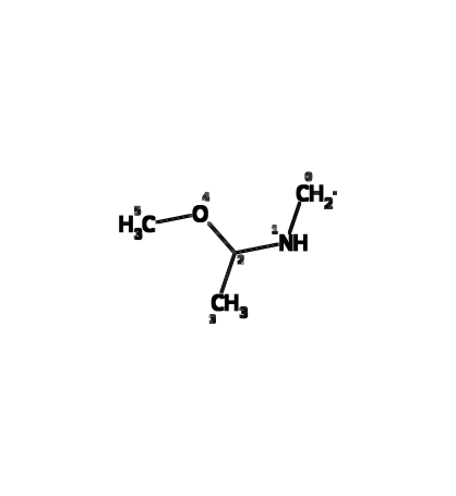 [CH2]NC(C)OC